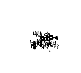 CC(C)CC(N)C(=O)OCc1c(-c2nc(N)nc(Nc3cnn(C)c3)n2)cccc1-n1ccc2cc(C3CC3)cc(F)c2c1=O.Cl.Cl